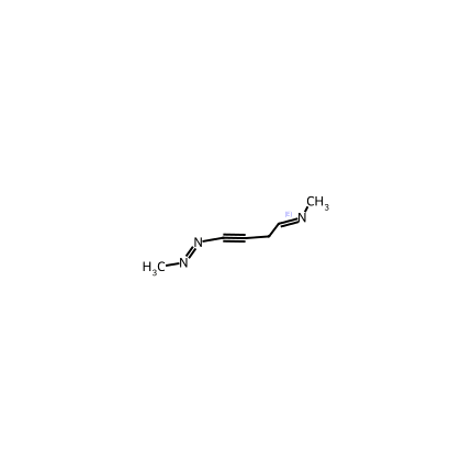 CN=NC#CC/C=N/C